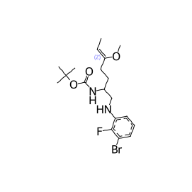 C/C=C(/CCC(CNc1cccc(Br)c1F)NC(=O)OC(C)(C)C)OC